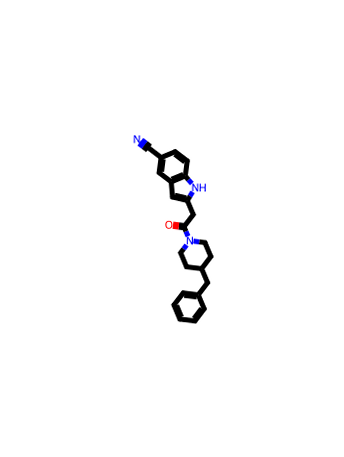 N#Cc1ccc2[nH]c(CC(=O)N3CCC(Cc4ccccc4)CC3)cc2c1